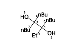 CCCCC(O)(CC)C(O)(CCCC)CCCC